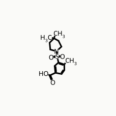 Cc1ccc(C(=O)O)cc1S(=O)(=O)N1CCC(C)(C)CC1